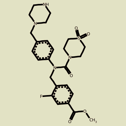 COC(=O)c1ccc(CN(C(=O)N2CCS(=O)(=O)CC2)c2ccc(CN3CCNCC3)cc2)c(F)c1